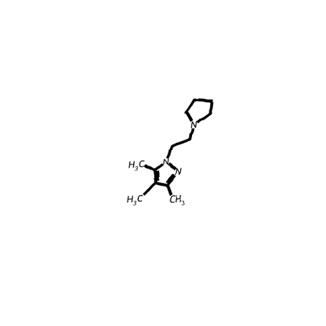 Cc1nn(CCN2CCCC2)c(C)c1C